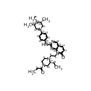 C=CC(=O)N1CCN(CCn2c(=O)ccc3cnc(Nc4ccc(N5C[C@@H](C)N(C)[C@H](C)C5)cc4)nc32)[C@@H](CC)C1